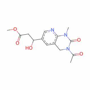 COC(=O)CC(O)c1cnc2c(c1)CN(C(C)=O)C(=O)N2C